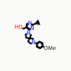 COc1ccc(N2CCC3(CCN(c4nc(C5CC5)ncc4CO)C3)C2)cc1